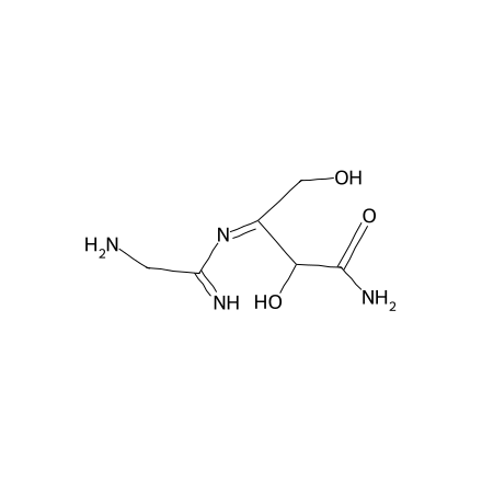 N=C(CN)N=C(CO)C(O)C(N)=O